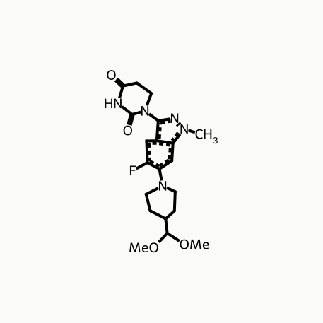 COC(OC)C1CCN(c2cc3c(cc2F)c(N2CCC(=O)NC2=O)nn3C)CC1